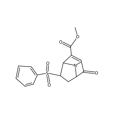 COC(=O)C1=CC(=O)C2CC(S(=O)(=O)c3ccccc3)C1N2C